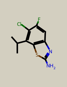 CC(C)c1c(Cl)c(F)cc2nc(N)sc12